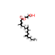 CC(=CCC(=O)OCCCO)CCCC(C)CCCC(C)CCCC(C)C